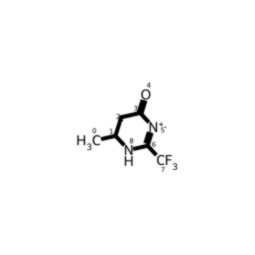 CC1[C]C(=O)[N+]=C(C(F)(F)F)N1